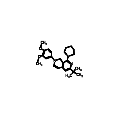 COc1ccc(N2C=Cc3cc(C(C)(C)C)nc(N4CCCCC4)c3C2)cc1OC